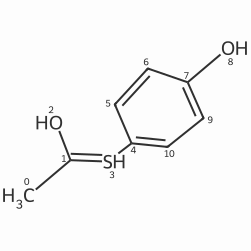 CC(O)=[SH]c1ccc(O)cc1